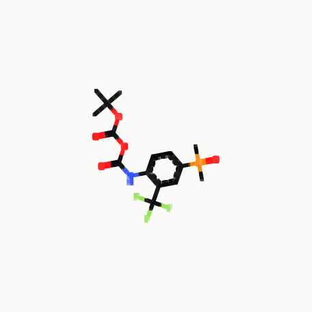 CC(C)(C)OC(=O)OC(=O)Nc1ccc(P(C)(C)=O)cc1C(F)(F)F